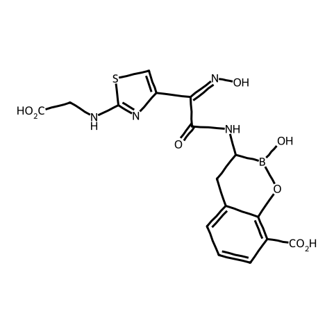 O=C(O)CNc1nc(C(=NO)C(=O)NC2Cc3cccc(C(=O)O)c3OB2O)cs1